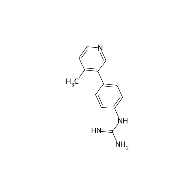 Cc1ccncc1-c1ccc(NC(=N)N)cc1